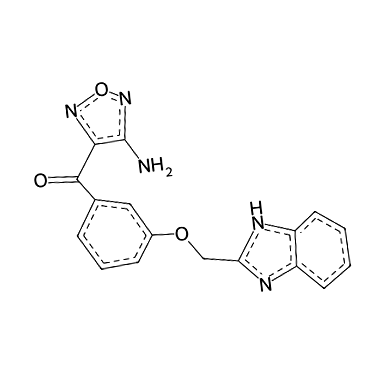 Nc1nonc1C(=O)c1cccc(OCc2nc3ccccc3[nH]2)c1